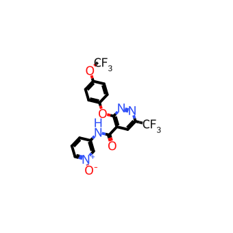 O=C(Nc1ccc[n+]([O-])c1)c1cc(C(F)(F)F)nnc1Oc1ccc(OC(F)(F)F)cc1